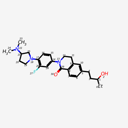 CCC(O)CCc1ccc2c(c1)CCN(c1ccc(N3CCC(N(C)C)C3)c(F)c1)C2=O